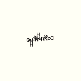 O=C(Nc1ccc(Cl)cn1)c1ccc(CNc2nc3ccc(NC4COC4)cc3[nH]2)cc1